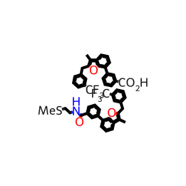 CSCCNC(=O)c1cccc(-c2cccc3c(C)c(Cc4cccc(C(F)(F)F)c4)oc23)c1.Cc1c(Cc2cccc(C(F)(F)F)c2)oc2c(-c3cccc(C(=O)O)c3)cccc12